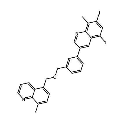 Cc1ccc(COCc2cccc(-c3cnc4c(C)c(I)cc(I)c4c3)c2)c2cccnc12